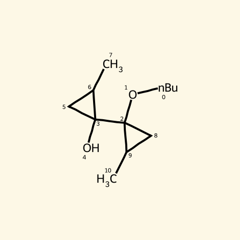 CCCCOC1(C2(O)CC2C)CC1C